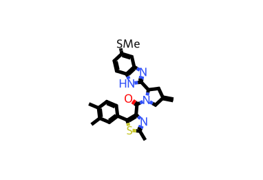 C=C1CC(c2nc3cc(SC)ccc3[nH]2)N(C(=O)c2nc(C)sc2-c2ccc(C)c(C)c2)C1